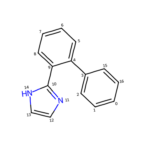 c1ccc(-c2ccccc2-c2ncc[nH]2)cc1